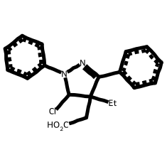 CCC1(CC(=O)O)C(c2ccccc2)=NN(c2ccccc2)C1Cl